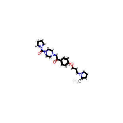 C[C@@H]1CCCN1CCCOc1ccc(C(=O)CN2CCN(C(=O)N3CCCC3)CC2)cc1